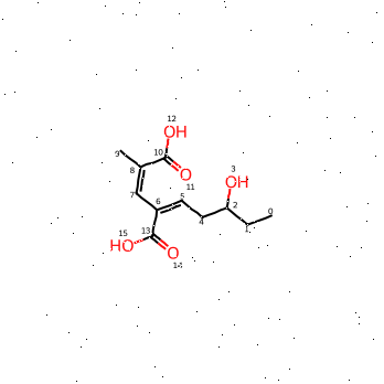 CCC(O)CC=C(C=C(C)C(=O)O)C(=O)O